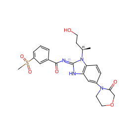 C[C@H](CCO)n1/c(=N/C(=O)c2cccc(S(C)(=O)=O)c2)[nH]c2cc(N3CCOCC3=O)ccc21